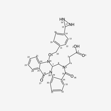 O=C(O)CCN1CC2N(OCc3ccc(C4NN4)cc3)c3ccccc3C(=O)N2c2ccccc2C1=O